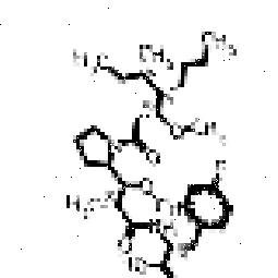 CCCC[C@@H]([C@@H](C)CC)[C@@H](CC(=O)N1CCCC1C(OC)[C@@H](C)C(=O)N[C@@H](Cc1ccc(F)cc1)C(=O)O)OC